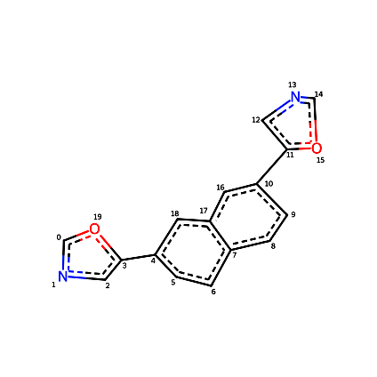 c1ncc(-c2ccc3ccc(-c4cnco4)cc3c2)o1